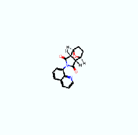 O=C1[C@@H]2[C@H](C(=O)N1c1cccc3cccnc13)[C@H]1CC[C@@H]2O1